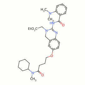 CCOC(=O)CN1Cc2cc(OCCCC(=O)N(C)C3CCCCC3)ccc2N=C1NC(=O)c1ccccc1N(C)C